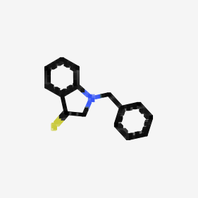 S=C1CN(Cc2ccccc2)c2ccccc21